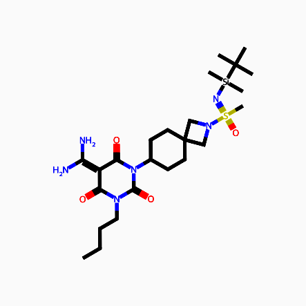 CCCCN1C(=O)C(=C(N)N)C(=O)N(C2CCC3(CC2)CN(S(C)(=O)=N[Si](C)(C)C(C)(C)C)C3)C1=O